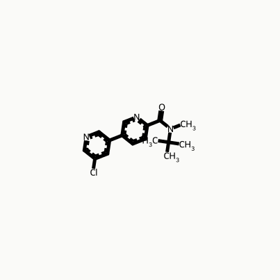 CN(C(=O)c1ccc(-c2cncc(Cl)c2)cn1)C(C)(C)C